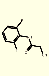 N#CCC(=O)Nc1c(F)cccc1F